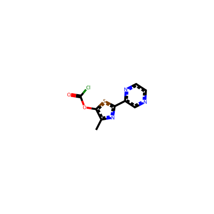 Cc1nc(-c2cnccn2)sc1OC(=O)Cl